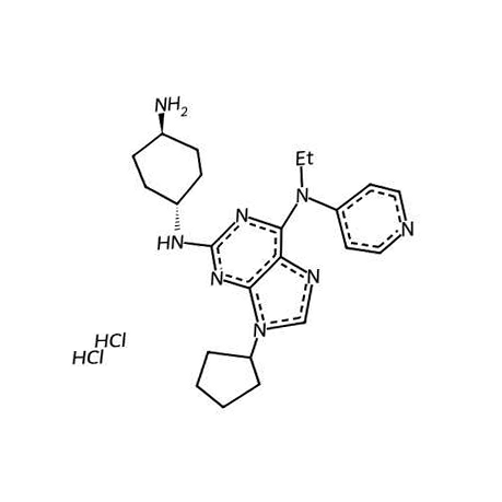 CCN(c1ccncc1)c1nc(N[C@H]2CC[C@H](N)CC2)nc2c1ncn2C1CCCC1.Cl.Cl